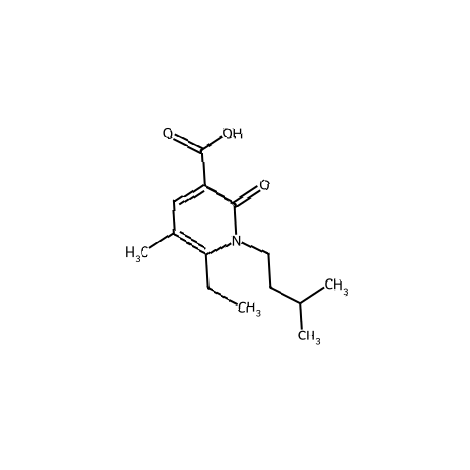 CCc1c(C)cc(C(=O)O)c(=O)n1CCC(C)C